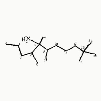 CCCC(C)C(C)(N)C(C)CCCC(C)(C)C